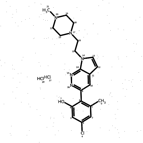 Cc1cc(Cl)cc(O)c1-c1cc2ccn(CCN3CCN(C)CC3)c2nn1.Cl.Cl